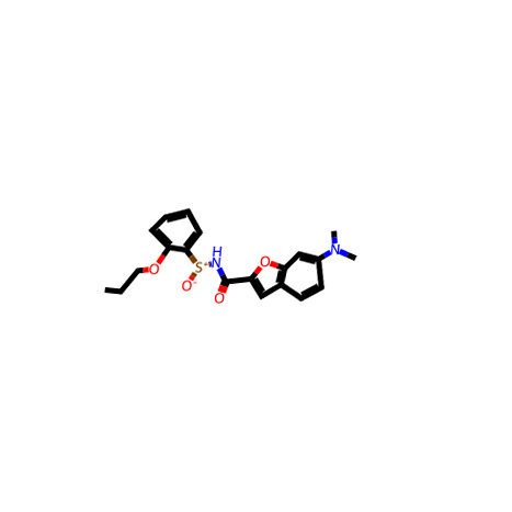 CCCOc1ccccc1[S+]([O-])NC(=O)c1cc2ccc(N(C)C)cc2o1